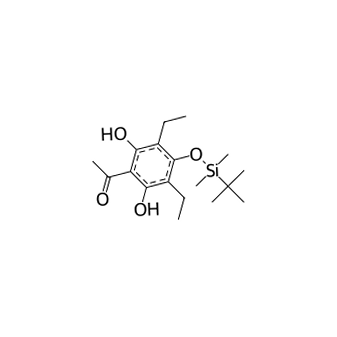 CCc1c(O)c(C(C)=O)c(O)c(CC)c1O[Si](C)(C)C(C)(C)C